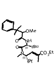 CCOC(=O)C(C)=C[C@H](C(C)C)N(C)C(=O)[C@@H](NC(=O)C(OC)C(C)(C)c1ccccc1)C(C)(C)C